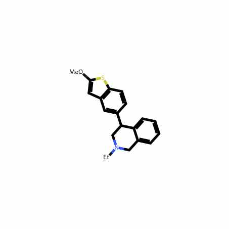 CCN1Cc2ccccc2C(c2ccc3sc(OC)cc3c2)C1